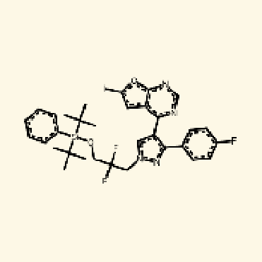 CC(C)(C)[Si](OCC(F)(F)Cn1cc(-c2ncnc3oc(I)cc23)c(-c2ccc(F)cc2)n1)(c1ccccc1)C(C)(C)C